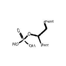 CCCC(C)CC(OP(=O)(O)O)C(C)CCC